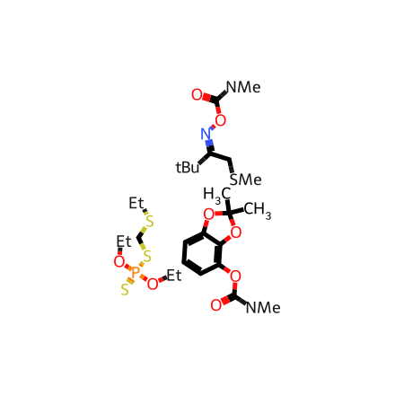 CCOP(=S)(OCC)SCSCC.CNC(=O)ON=C(CSC)C(C)(C)C.CNC(=O)Oc1cccc2c1OC(C)(C)O2